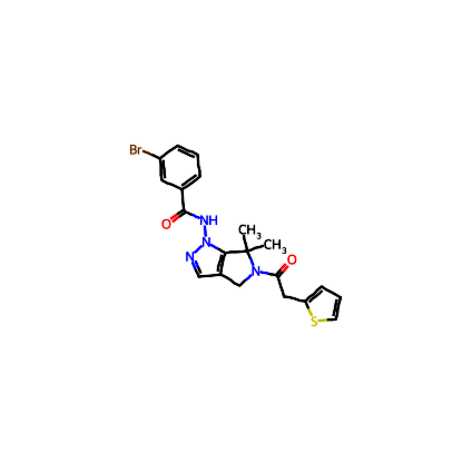 CC1(C)c2c(cnn2NC(=O)c2cccc(Br)c2)CN1C(=O)Cc1cccs1